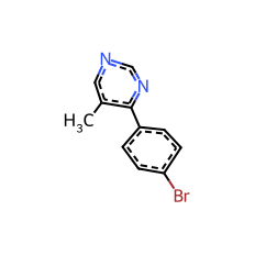 Cc1cncnc1-c1ccc(Br)cc1